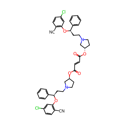 N#Cc1ccc(Cl)cc1O[C@H](CCN1CC[C@H](OC(=O)/C=C/C(=O)O[C@H]2CCN(CC[C@@H](Oc3cc(Cl)ccc3C#N)c3ccccc3)C2)C1)c1ccccc1